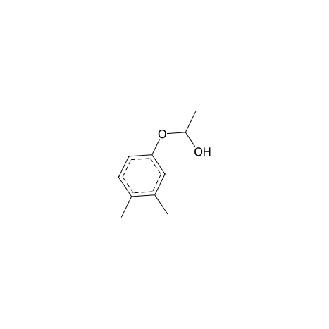 Cc1ccc(OC(C)O)cc1C